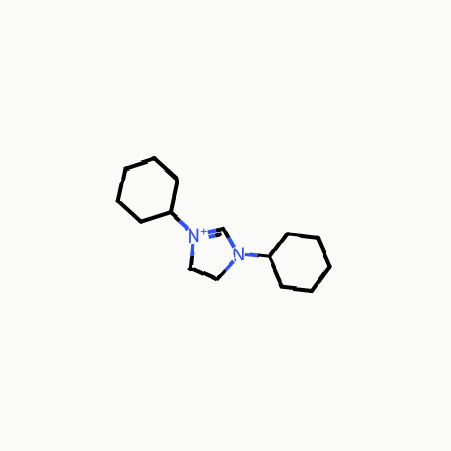 C1=[N+](C2CCCCC2)CCN1C1CCCCC1